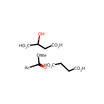 COC(=O)C(C)=O.O=C(O)CC(O)C(=O)O.O=C(O)CCC(=O)O